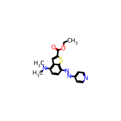 CCOC(=O)c1cc2c(N(C)C)ccc(/N=N/c3ccncc3)c2s1